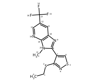 CCSc1nscc1-c1nc2cc(C(F)(F)F)cnc2n1C